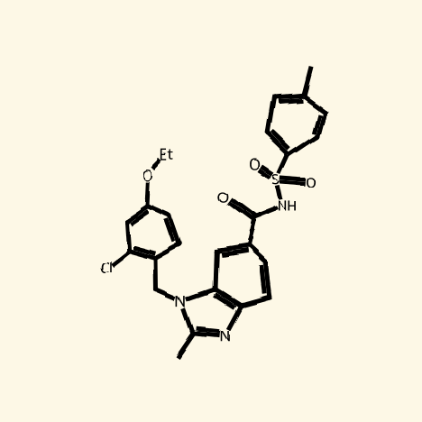 CCOc1ccc(Cn2c(C)nc3ccc(C(=O)NS(=O)(=O)c4ccc(C)cc4)cc32)c(Cl)c1